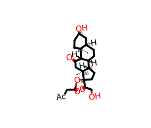 CC(=O)CC(=O)O[C@]1(C(=O)CO)CC[C@H]2[C@@H]3CC[C@@H]4C[C@H](O)CC[C@]4(C)[C@H]3C(=O)C[C@@]21C